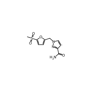 CS(=O)(=O)c1ccc(Cn2c[c]c(C(N)=O)n2)o1